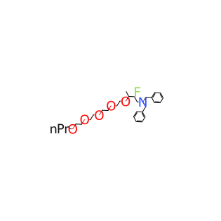 CCCOCCOCCOCCOCCOC(C)C(F)CN(Cc1ccccc1)Cc1ccccc1